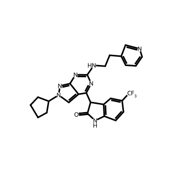 O=C1Nc2ccc(C(F)(F)F)cc2C1c1nc(NCCc2cccnc2)nc2nn(C3CCCC3)cc12